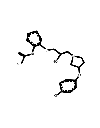 CCCC(=O)Nc1ccccc1OCC(O)CN1CCC(Oc2ccc(Cl)cc2)C1